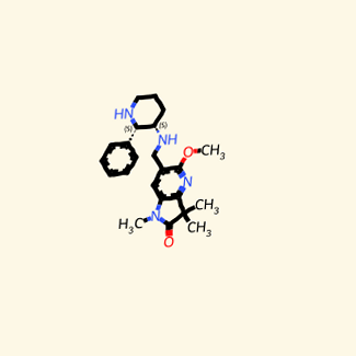 COc1nc2c(cc1CN[C@H]1CCCN[C@H]1c1ccccc1)N(C)C(=O)C2(C)C